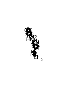 Cn1cc(-c2ccc3nnc(NC(=O)c4cc5ccoc5cn4)cc3c2)cn1